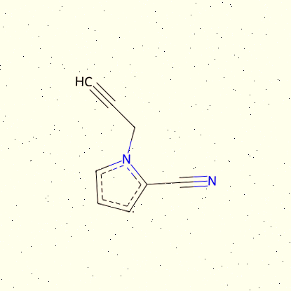 C#CCn1cc[c]c1C#N